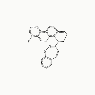 Fc1cccc2c1=CCc1c3c(ccc1=2)=CCCC3C1=NSc2ccccc2C=C1